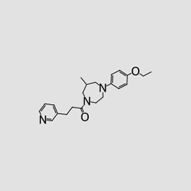 CCOc1ccc(N2CCN(C(=O)CCc3cccnc3)CC(C)C2)cc1